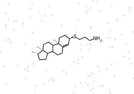 C[C@H]1CCC2C3CCC4=C[C@H](SCCCN)CC[C@]4(C)C3CC[C@@]21C